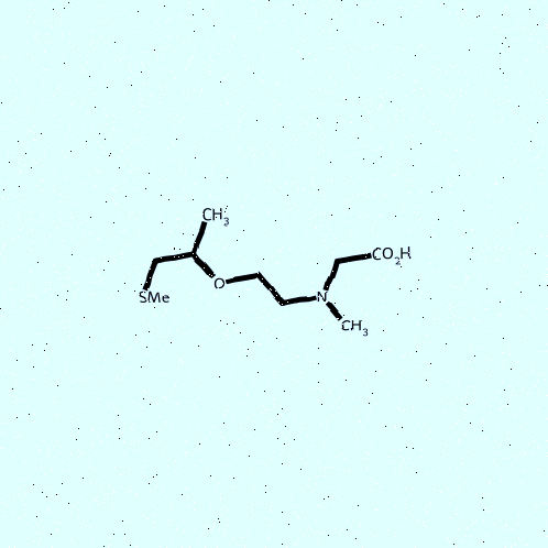 CSCC(C)OCCN(C)CC(=O)O